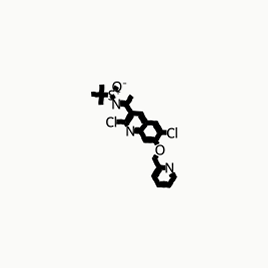 CC(=N[S+]([O-])C(C)(C)C)c1cc2cc(Cl)c(OCc3ccccn3)cc2nc1Cl